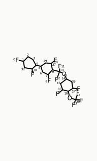 FC1CCC(C2CC(F)C(C(F)(F)OC3CC(F)C(OC(F)(F)F)C(F)C3)C(F)C2)C(F)C1